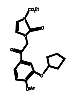 CCOC(=O)n1ccn(CC(=O)c2ccc(OC)c(OC3CCCC3)c2)c1=O